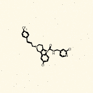 O=C(NCc1ccnc(Cl)c1)n1c2c(c3cc(Cl)ccc31)CN(CC=Cc1ccc(C(F)(F)F)cc1)CC2